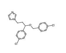 Clc1ccc(COC(CCn2ccnc2)c2ccc(Cl)cc2)cc1